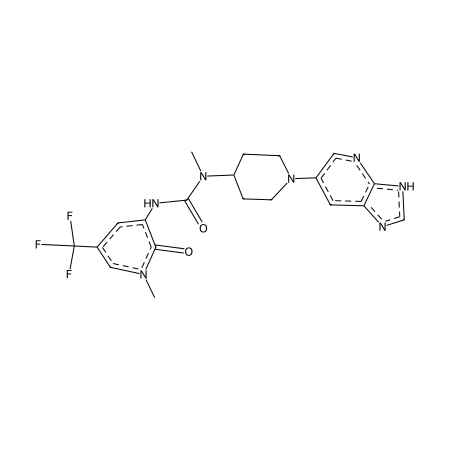 CN(C(=O)Nc1cc(C(F)(F)F)cn(C)c1=O)C1CCN(c2cnc3[nH]cnc3c2)CC1